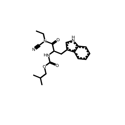 CCN(C#N)C(=O)C(Cc1c[nH]c2ccccc12)NC(=O)OCC(C)C